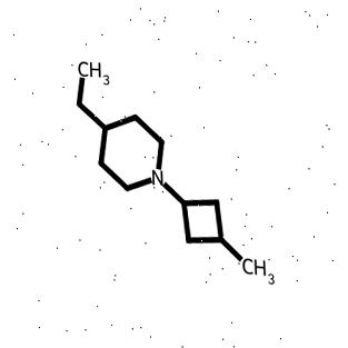 CCC1CCN(C2CC(C)C2)CC1